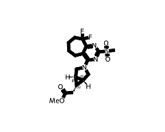 COC(=O)C[C@@H]1[C@H]2CN(c3nc(S(C)(=O)=O)nc4c3CCCCC4(F)F)C[C@@H]12